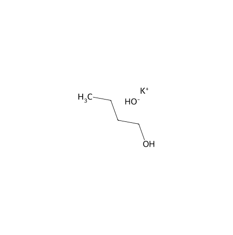 CCCCO.[K+].[OH-]